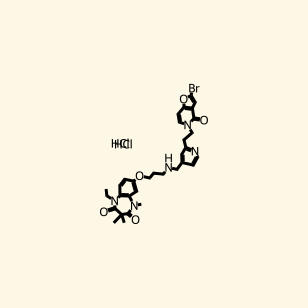 CCN1C(=O)C(C)(C)C(=O)N(C)c2cc(OCCCNCc3ccnc(CCn4ccc5oc(Br)cc5c4=O)c3)ccc21.Cl.Cl